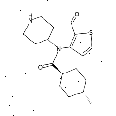 C[C@H]1CC[C@H](C(=O)N(c2ccsc2C=O)C2CCNCC2)CC1